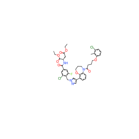 CCOC(=O)C[C@@H](NC(=O)c1cc(F)c(Cn2cc(-c3cccc4c3OCCCN4C(=O)CCCOc3cccc(Cl)c3C)cn2)c(Cl)c1)C(=O)OCC